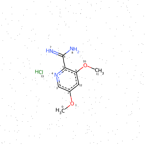 COc1cnc(C(=N)N)c(OC)c1.Cl